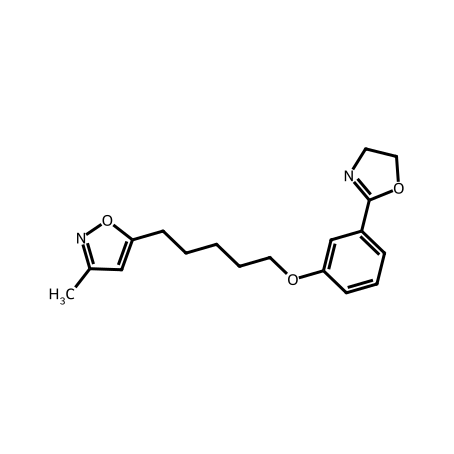 Cc1cc(CCCCCOc2cccc(C3=NCCO3)c2)on1